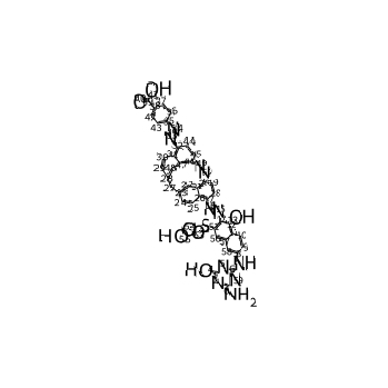 Nc1nc(O)nc(Nc2ccc3c(O)c(N=Nc4ccc5c6cc(ccc46)Cc4ccc6c(N=Nc7ccc(C(=O)O)cc7)ccc(c6c4)N=N5)c(SOOO)cc3c2)n1